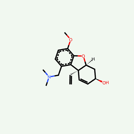 C=C[C@@]12C=C[C@H](O)C[C@@H]1Oc1c(OC)ccc(CN(C)C)c12